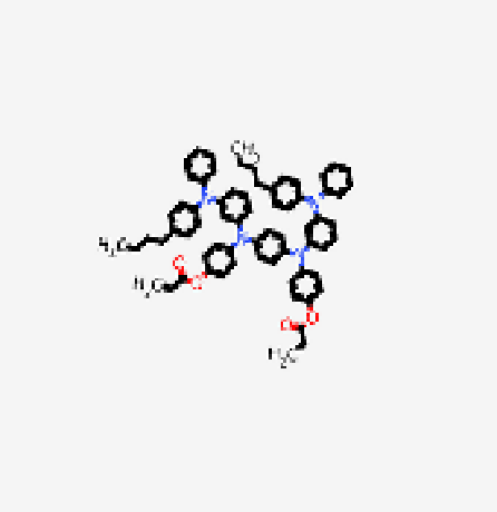 C=CC(=O)Oc1ccc(N(c2ccc(N(c3ccc(OC(=O)C=C)cc3)c3cccc(N(c4ccccc4)c4ccc(CCCC)cc4)c3)cc2)c2cccc(N(c3ccccc3)c3ccc(CCCC)cc3)c2)cc1